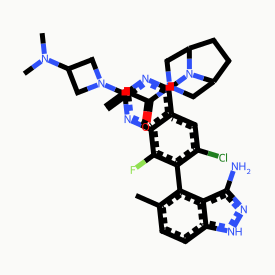 C=CC(=O)N1CC2CCC(C1)N2c1nc(N2CC(N(C)C)C2)nc2c(F)c(-c3c(C)ccc4[nH]nc(N)c34)c(Cl)cc12